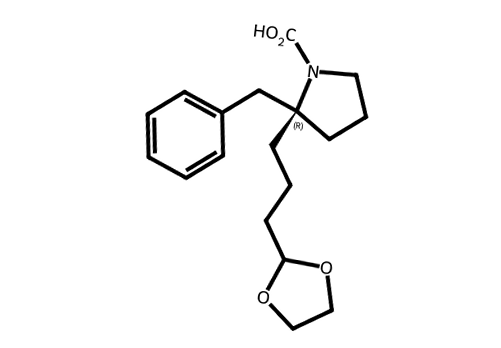 O=C(O)N1CCC[C@]1(CCCC1OCCO1)Cc1ccccc1